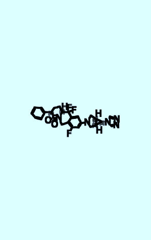 O=S1(=O)[C@@H](c2ccccc2)CC[C@H]2N1Cc1c(F)cc(N3C[C@@H]4[C@H](C3)[C@H]4n3cnnc3)cc1C2(F)F